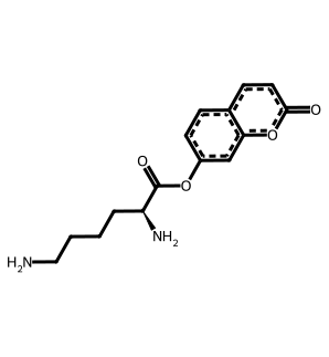 NCCCC[C@H](N)C(=O)Oc1ccc2ccc(=O)oc2c1